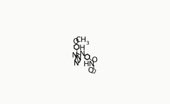 COc1ccc(-c2nc3cnccn3c2Nc2ccc(C(=O)NCC3CCCO3)cc2)cc1